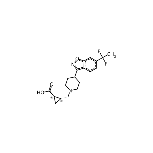 CC(F)(F)c1ccc2c(C3CCN(C[C@@H]4C[C@H]4C(=O)O)CC3)noc2c1